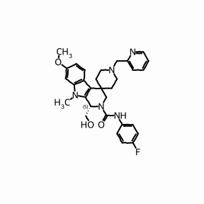 COc1ccc2c3c(n(C)c2c1)[C@@H](CO)N(C(=O)Nc1ccc(F)cc1)CC31CCN(Cc2ccccn2)CC1